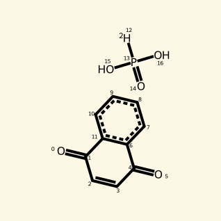 O=C1C=CC(=O)c2ccccc21.[2H]P(=O)(O)O